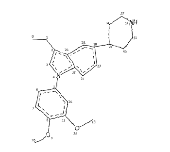 CCc1cn(-c2ccc(OC)c(OC)c2)c2ccc(C3CCNCC3)cc12